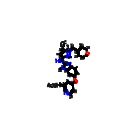 CC(=O)Nc1cc(Oc2ccc3nc(Nc4cc(C(F)(F)F)n(CC5CCOCC5)n4)n(C)c3c2)ccn1